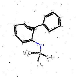 C[Si](C)(C)Nc1ccccc1-c1ccccc1